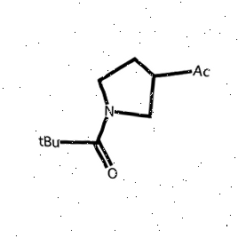 CC(=O)C1CCN(C(=O)C(C)(C)C)C1